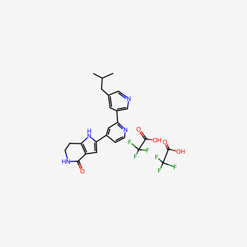 CC(C)Cc1cncc(-c2cc(-c3cc4c([nH]3)CCNC4=O)ccn2)c1.O=C(O)C(F)(F)F.O=C(O)C(F)(F)F